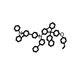 C=Cc1ccc(Oc2ccc(C3(c4ccc5ccccc5c4)c4ccccc4-c4ccc(N(c5ccc(-c6ccc7c(c6)c6ccccc6n7-c6ccccc6)cc5)c5cccc(-c6ccccc6)c5)cc43)cc2)cc1